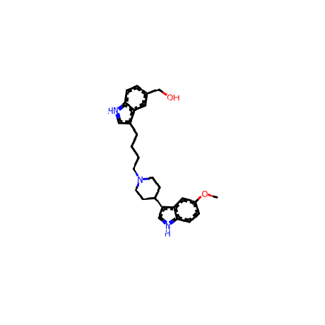 COc1ccc2[nH]cc(C3CCN(CCCCc4c[nH]c5ccc(CO)cc45)CC3)c2c1